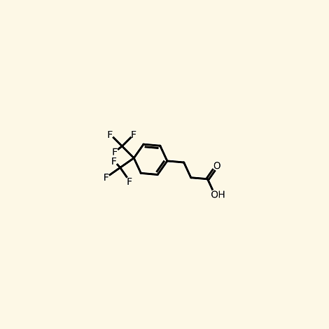 O=C(O)CCC1=CCC(C(F)(F)F)(C(F)(F)F)C=C1